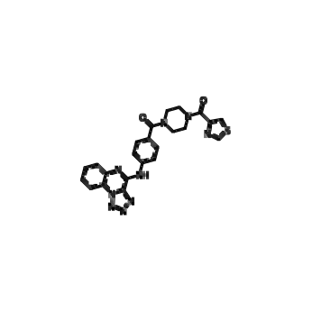 O=C(c1ccc(Nc2nc3ccccc3n3nnnc23)cc1)N1CCN(C(=O)c2cscn2)CC1